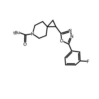 CC(C)(C)C(=O)N1CCC2(CC1)CC2c1nnc(-c2cccc(F)c2)o1